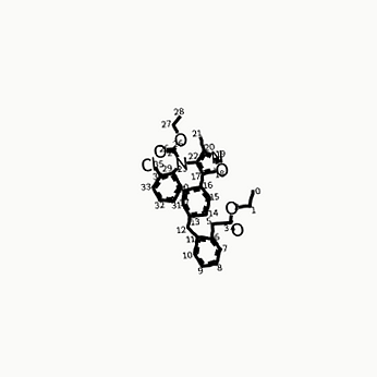 CCOC(=O)Cc1ccccc1Cc1ccc(-c2onc(C)c2N(C(=O)OCC)c2ccccc2Cl)cc1